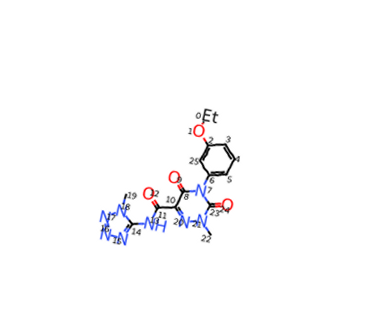 CCOc1cccc(-n2c(=O)c(C(=O)Nc3nnnn3C)nn(C)c2=O)c1